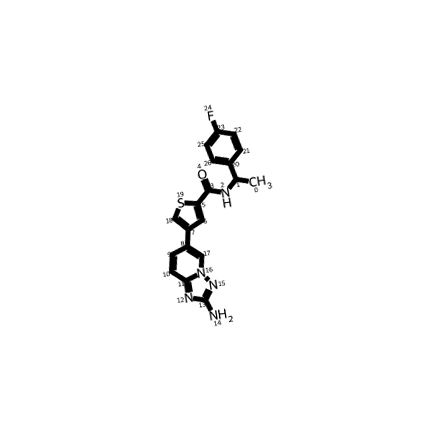 CC(NC(=O)c1cc(-c2ccc3nc(N)nn3c2)cs1)c1ccc(F)cc1